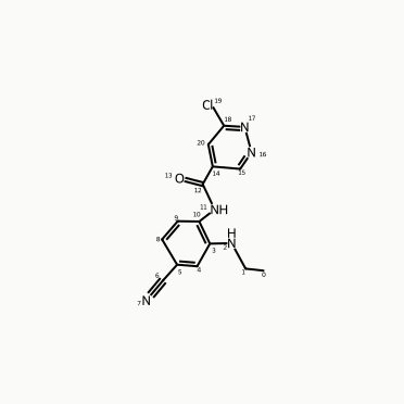 CCNc1cc(C#N)ccc1NC(=O)c1cnnc(Cl)c1